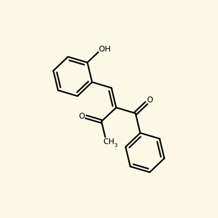 CC(=O)/C(=C\c1ccccc1O)C(=O)c1ccccc1